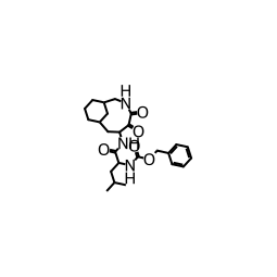 CC(C)CC(NC(=O)OCc1ccccc1)C(=O)NC1CC2CCCC(CNC(=O)C1=O)C2